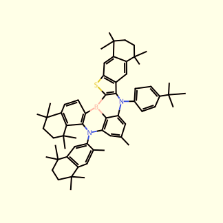 Cc1cc2c3c(c1)N(c1ccc(C(C)(C)C)cc1)c1c(sc4cc5c(cc14)C(C)(C)CCC5(C)C)B3c1ccc3c(c1N2c1cc2c(cc1C)C(C)(C)CCC2(C)C)C(C)(C)CCC3(C)C